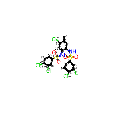 Cc1cc(NS(=O)(=O)c2ccc(Cl)c(Cl)c2)c(NS(=O)(=O)c2ccc(Cl)c(Cl)c2)cc1Cl